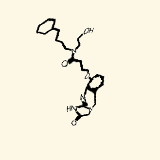 O=C1CN2Cc3cccc(OCCCC(=O)N(CCO)CCCCC4CCCCC4)c3N=C2N1